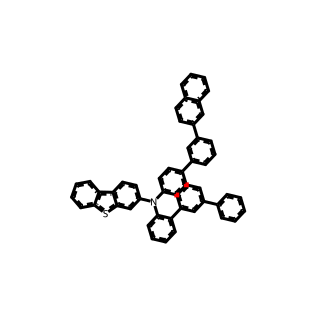 c1ccc(-c2cccc(-c3ccccc3N(c3ccc(-c4cccc(-c5ccc6ccccc6c5)c4)cc3)c3ccc4c(c3)sc3ccccc34)c2)cc1